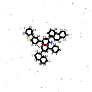 c1cc(-c2ccccc2N(c2ccc(-c3ccc4sc5ccccc5c4c3)cc2)c2cc3ccccc3c3ccccc23)cc(-c2cccc3ccccc23)c1